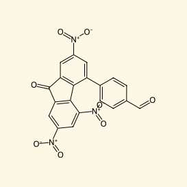 O=Cc1ccc(-c2cc([N+](=O)[O-])cc3c2-c2c(cc([N+](=O)[O-])cc2[N+](=O)[O-])C3=O)cc1